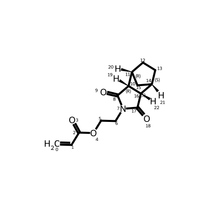 C=CC(=O)OCCN1C(=O)[C@@H]2[C@@H]3CC[C@@H](C3)[C@@H]2C1=O